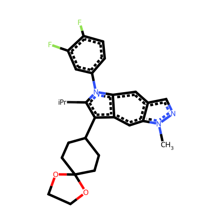 CC(C)c1c(C2CCC3(CC2)OCCO3)c2cc3c(cnn3C)cc2n1-c1ccc(F)c(F)c1